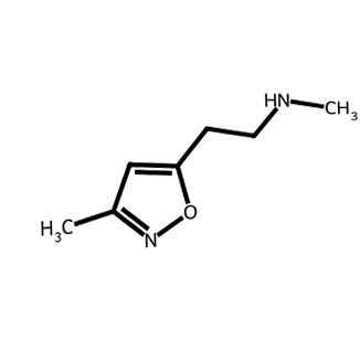 CNCCc1cc(C)no1